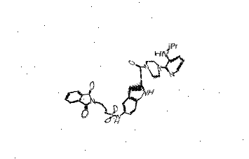 CC(C)Nc1cccnc1N1CCN(C(=O)c2cc3cc(NS(=O)(=O)CCN4C(=O)c5ccccc5C4=O)ccc3[nH]2)CC1